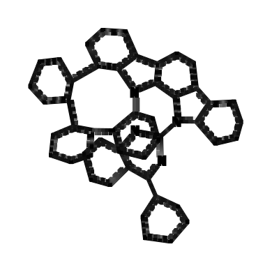 c1ccc(-c2nc(-n3c4ccccc4c4ccc5c6cccc7c8ccccc8c8ccccc8c8ccccc8n(c76)c5c43)nc3ccccc23)cc1